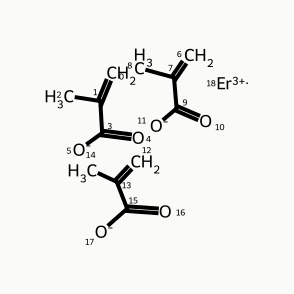 C=C(C)C(=O)[O-].C=C(C)C(=O)[O-].C=C(C)C(=O)[O-].[Er+3]